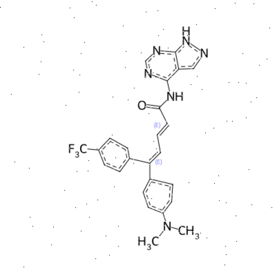 CN(C)c1ccc(/C(=C/C=C/C(=O)Nc2ncnc3[nH]ncc23)c2ccc(C(F)(F)F)cc2)cc1